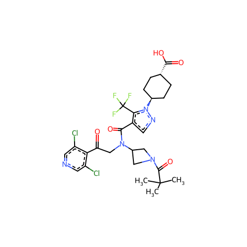 CC(C)(C)C(=O)N1CC(N(CC(=O)c2c(Cl)cncc2Cl)C(=O)c2cnn([C@H]3CC[C@H](C(=O)O)CC3)c2C(F)(F)F)C1